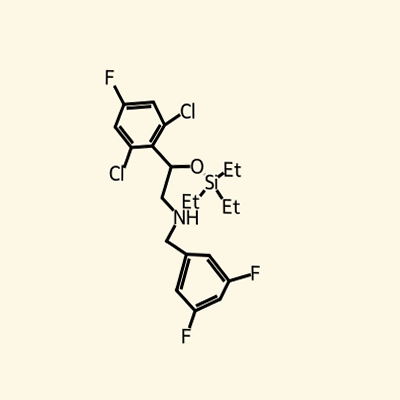 CC[Si](CC)(CC)OC(CNCc1cc(F)cc(F)c1)c1c(Cl)cc(F)cc1Cl